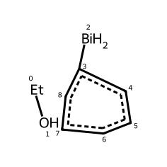 CCO.[BiH2][c]1ccccc1